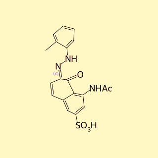 CC(=O)Nc1cc(S(=O)(=O)O)cc2c1C(=O)/C(=N\Nc1ccccc1C)C=C2